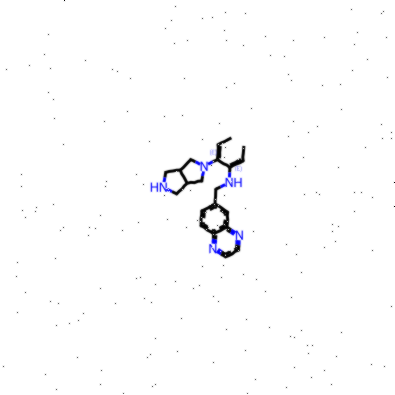 C/C=C(NCc1ccc2nccnc2c1)\C(=C/C)N1CC2CNCC2C1